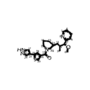 COC(c1ccccn1)C(C)CC1CCCN(C(=O)c2csc(-c3cn[nH]c3)c2)C1